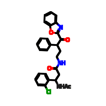 CC(=O)NC(CC(=O)NCCC(C(=O)c1nc2ccccc2o1)c1ccccc1)c1ccccc1Cl